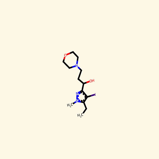 CCc1c(I)c(C(O)CCN2CCOCC2)nn1C